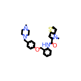 CN1CCN(Cc2ccc(OCc3ccccc3NC(=O)c3cc4sccc4n3C)cc2)CC1